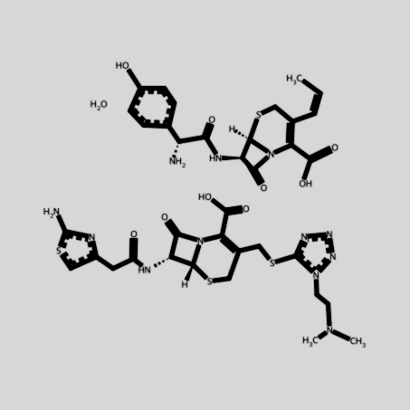 C/C=C\C1=C(C(=O)O)N2C(=O)[C@@H](NC(=O)[C@H](N)c3ccc(O)cc3)[C@H]2SC1.CN(C)CCn1nnnc1SCC1=C(C(=O)O)N2C(=O)[C@@H](NC(=O)Cc3csc(N)n3)[C@H]2SC1.O